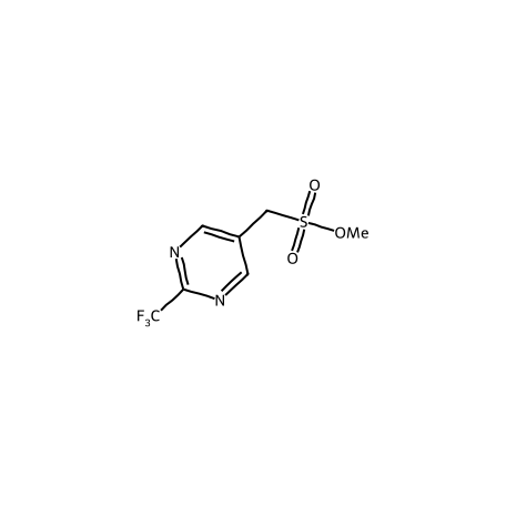 COS(=O)(=O)Cc1cnc(C(F)(F)F)nc1